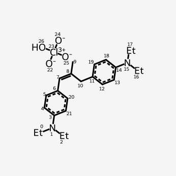 CCN(CC)c1ccc(C=C(C)Cc2ccc(N(CC)CC)cc2)cc1.[O-][Cl+3]([O-])([O-])O